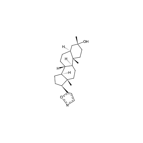 C[C@@]1(O)CC[C@@]2(C)[C@@H](CC[C@@H]3[C@@H]2CC[C@]2(C)[C@@H](c4ccno4)CC[C@@H]32)C1